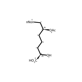 CCCCCCCCCC[C@H](CCC[C@@H](O)C(=O)O)OC(C)=O